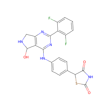 O=C1NC(=O)C(c2ccc(Nc3nc(-c4c(F)cccc4F)nc4c3C(O)NC4)cc2)S1